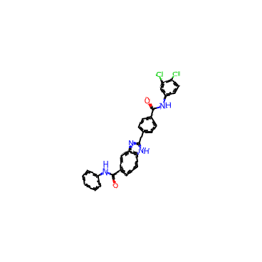 O=C(Nc1ccc(Cl)c(Cl)c1)c1ccc(-c2nc3cc(C(=O)Nc4ccccc4)ccc3[nH]2)cc1